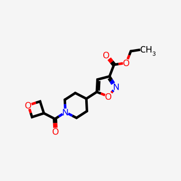 CCOC(=O)c1cc(C2CCN(C(=O)C3COC3)CC2)on1